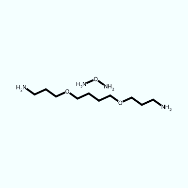 NCCCOCCCCOCCCN.NON